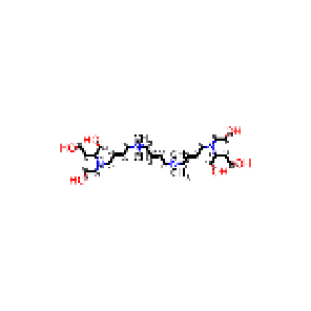 C[N+](C)(C/C=C/CN(CCO)C(CO)CCO)C/C=C/C[N+](C)(C)C/C=C/CN(CCO)C(CO)CCO